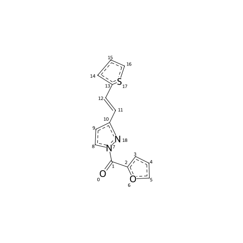 O=C(c1ccco1)n1ccc(/C=C/c2cccs2)n1